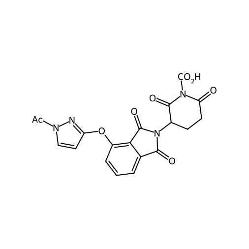 CC(=O)n1ccc(Oc2cccc3c2C(=O)N(C2CCC(=O)N(C(=O)O)C2=O)C3=O)n1